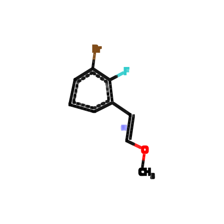 CO/C=C/c1cccc(Br)c1F